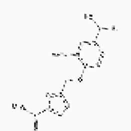 CCC(O)c1ccc(OCc2ccc(C(=O)OC)o2)c(OC)c1